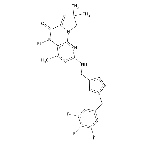 CCN1C(=O)C2=CC(C)(C)CN2c2nc(NCc3cnn(Cc4cc(F)c(F)c(F)c4)c3)nc(C)c21